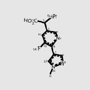 CCCC(C(=O)O)c1cnc(-c2cnn(C)c2)c(F)c1